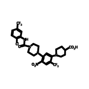 O=C(O)C1CCN(c2cc(N3CCN(C(=O)Nc4cc(C(F)(F)F)ccc4Cl)CC3)c([N+](=O)[O-])cc2C(F)(F)F)CC1